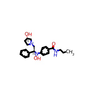 CCCNC(=O)c1ccc(N(O)[C@H](CN2CC[C@H](O)C2)c2ccccc2)cc1